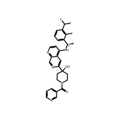 C[C@@H](Nc1ccnc2cnc(C3(O)CCN(C(=O)c4cccnc4)CC3)cc12)c1cccc(C(F)F)c1F